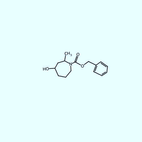 CC1CC(O)CCCN1C(=O)OCc1ccccc1